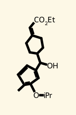 CCOC(=O)C=C1CCC(C(O)c2ccc(C)c(OC(C)C)c2)CC1